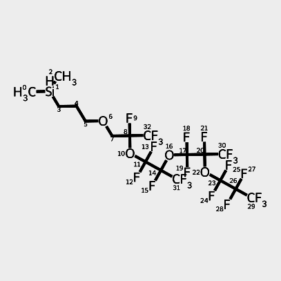 C[SiH](C)CCCOCC(F)(OC(F)(F)C(F)(OC(F)(F)C(F)(OC(F)(F)C(F)(F)C(F)(F)F)C(F)(F)F)C(F)(F)F)C(F)(F)F